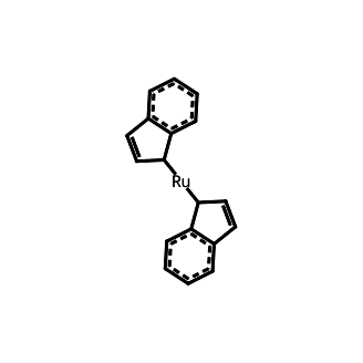 C1=C[CH]([Ru][CH]2C=Cc3ccccc32)c2ccccc21